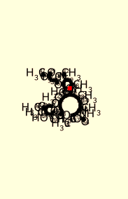 CC[C@H]1OC(=O)[C@H](C)[C@@H](O[C@H]2C[C@@](C)(OC)[C@@H](O)[C@H](C)O2)[C@H](C)[C@@H](O[C@@H]2O[C@H](C)C[C@H](N(C)C)[C@H]2OCCC(=O)OC)[C@@](C)(OC)C[C@@H](C)C(=O)[C@H](C)[C@H]2NC(=O)O[C@@]21C